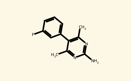 Cc1nc(N)nc(C)c1-c1cccc(F)c1